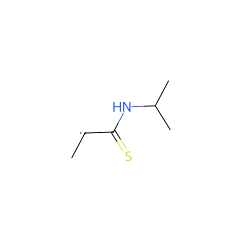 C[CH]C(=S)NC(C)C